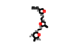 C=C1C[C@H](CC[C@@H]2C[C@@H](OC)CO2)O[C@H]1CC[C@H]1C[C@@H](C)C(=C)[C@@H](C)O1